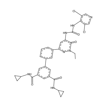 CCn1nc(-c2cccc(-c3cc(C(=O)NC4CC4)cc(C(=O)NC4CC4)c3)c2)cc(NC(=O)Nc2c(Cl)cncc2Cl)c1=O